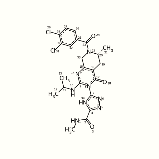 CNC(=O)c1nnc(-n2c(NC(C)C)nc3c(c2=O)C[C@@H](C)N(C(=O)c2ccc(Cl)c(Cl)c2)C3)[nH]1